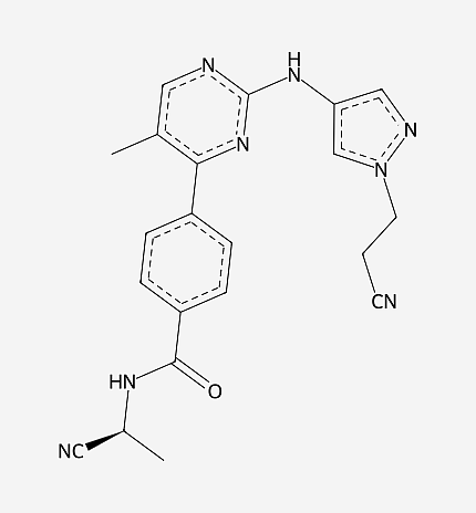 Cc1cnc(Nc2cnn(CCC#N)c2)nc1-c1ccc(C(=O)N[C@@H](C)C#N)cc1